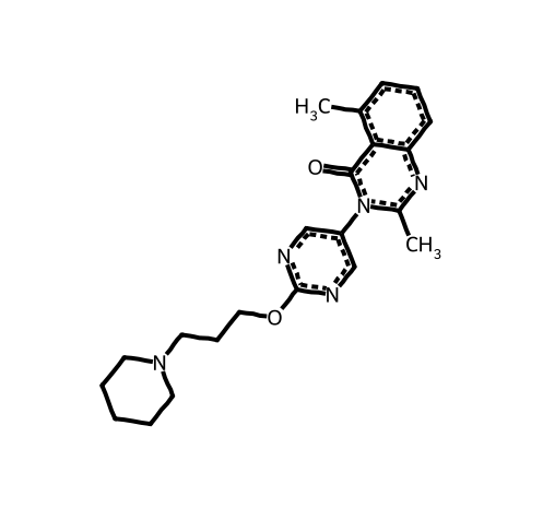 Cc1cccc2nc(C)n(-c3cnc(OCCCN4CCCCC4)nc3)c(=O)c12